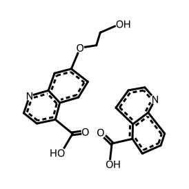 O=C(O)c1cccc2ncccc12.O=C(O)c1ccnc2cc(OCCO)ccc12